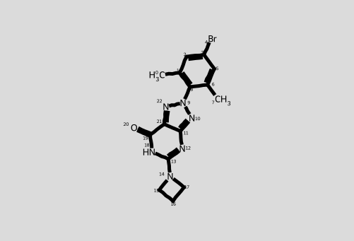 Cc1cc(Br)cc(C)c1-n1nc2nc(N3CCC3)[nH]c(=O)c2n1